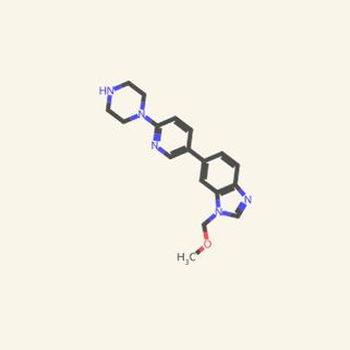 COCn1cnc2ccc(-c3ccc(N4CCNCC4)nc3)cc21